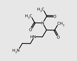 CC(=O)C(CNCCN)N(C(C)=O)C(C)=O